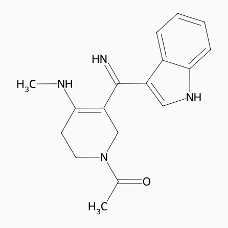 CNC1=C(C(=N)c2c[nH]c3ccccc23)CN(C(C)=O)CC1